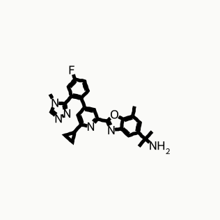 Cc1cc(C(C)(C)N)cc2nc(-c3cc(-c4ccc(F)cc4-c4nncn4C)cc(C4CC4)n3)oc12